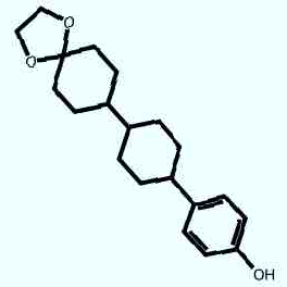 Oc1ccc(C2CCC(C3CCC4(CC3)OCCO4)CC2)cc1